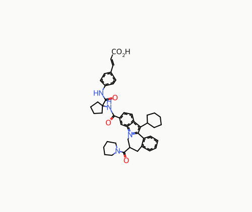 O=C(O)/C=C/c1ccc(NC(=O)C2(NC(=O)c3ccc4c(C5CCCCC5)c5n(c4c3)CC(C(=O)N3CCCCC3)Cc3ccccc3-5)CCCC2)cc1